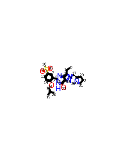 CCc1c2nc(-c3cc(S(C)(=O)=O)ccc3OCC(C)C)[nH]c(=O)c2nn1C[C@H]1CCCN1C